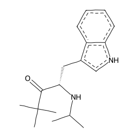 CC(C)N[C@@H](Cc1c[nH]c2ccccc12)C(=O)C(C)(C)C